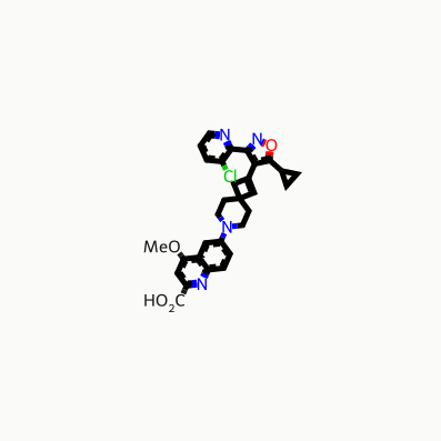 COc1cc(C(=O)O)nc2ccc(N3CCC4(C=C(c5c(-c6ncccc6Cl)noc5C5CC5)C4)CC3)cc12